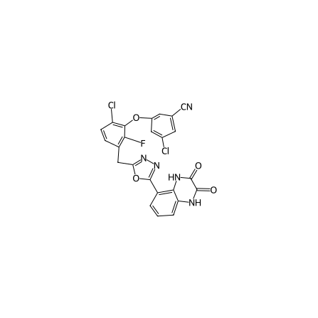 N#Cc1cc(Cl)cc(Oc2c(Cl)ccc(Cc3nnc(-c4cccc5[nH]c(=O)c(=O)[nH]c45)o3)c2F)c1